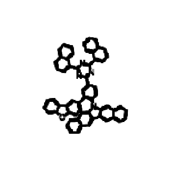 c1ccc2cc3c(cc2c1)c1cc2ccccc2cc1n3-c1ccc(-c2nc(-c3cccc4ccccc34)nc(-c3cccc4ccccc34)n2)cc1-c1ccc2oc3ccccc3c2c1